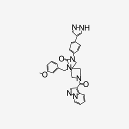 COc1cccc(CN2C(=O)N(c3ccc(-c4cn[nH]c4)cc3)CC23CCN(C(=O)c2cnn4ccccc24)CC3)c1